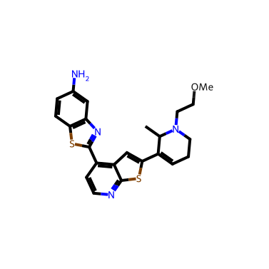 COCCN1CCC=C(c2cc3c(-c4nc5cc(N)ccc5s4)ccnc3s2)C1C